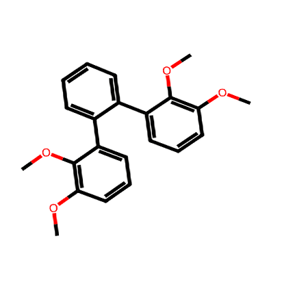 COc1cccc(-c2ccccc2-c2cccc(OC)c2OC)c1OC